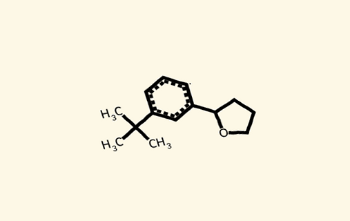 CC(C)(C)c1cc[c]c(C2CCCO2)c1